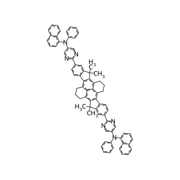 CC1(C)c2cc(-c3ncc(N(c4ccccc4)c4cccc5ccccc45)cn3)ccc2-c2c1c1c3c(c4c(c5c3c2CCC5)C(C)(C)c2cc(-c3ncc(N(c5ccccc5)c5cccc6ccccc56)cn3)ccc2-4)CCC1